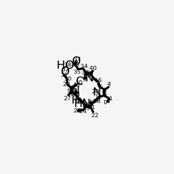 C=CC1=C(C)c2cc3nc(cc4[nH]c(cc5[nH]c(cc1n2)c(C)c5C=C)c(C)c4CCC=O)C(CCC(=O)O)=C3C